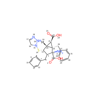 N[C@@]1(C(=O)O)C(Cc2ccccc2)[C@H](SN2CC=NN2)[C@@H]2[C@@H](C(=O)O)[C@]21Cc1ccccc1